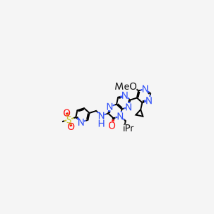 COc1ncnc(C2CC2)c1-c1ncc2nc(NCc3ccc(S(C)(=O)=O)nc3)c(=O)n(CC(C)C)c2n1